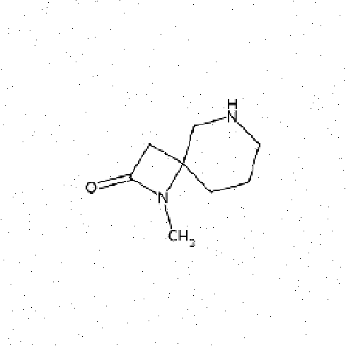 CN1C(=O)CC12CCCNC2